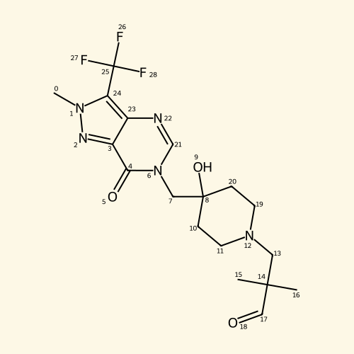 Cn1nc2c(=O)n(CC3(O)CCN(CC(C)(C)C=O)CC3)cnc2c1C(F)(F)F